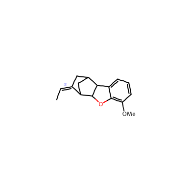 C/C=C1/CC2CC1C1Oc3c(OC)cccc3C21